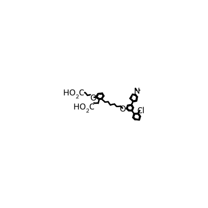 CN(C)c1ccc(-c2cc(OCCCCCCc3cccc(OCCCC(=O)O)c3CCC(=O)O)cc(-c3ccccc3Cl)c2)cc1